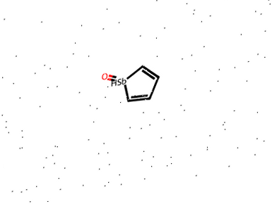 [O]=[SbH]1[CH]=CC=[CH]1